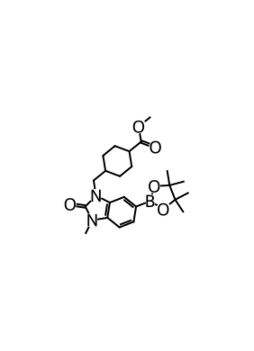 COC(=O)C1CCC(Cn2c(=O)n(C)c3ccc(B4OC(C)(C)C(C)(C)O4)cc32)CC1